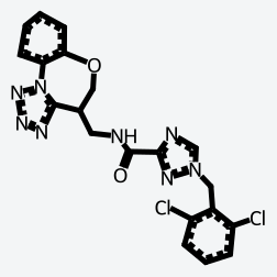 O=C(NCC1COc2ccccc2-n2nnnc21)c1ncn(Cc2c(Cl)cccc2Cl)n1